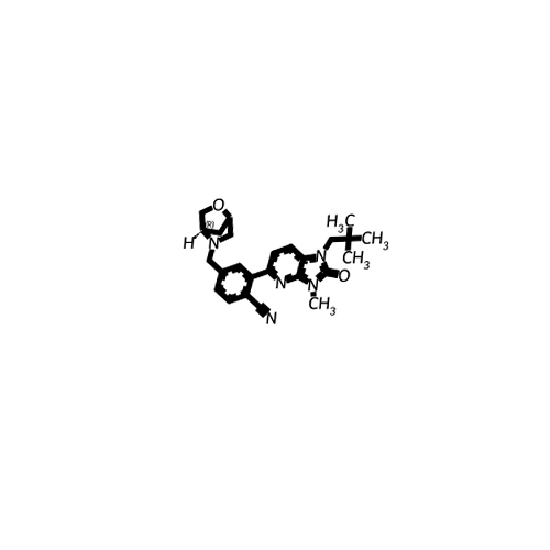 Cn1c(=O)n(CC(C)(C)C)c2ccc(-c3cc(CN4CC5C[C@@H]4CO5)ccc3C#N)nc21